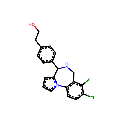 OCCc1ccc(C2NCc3c(ccc(Cl)c3Cl)-n3cccc32)cc1